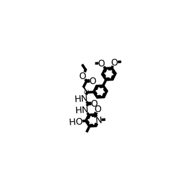 CCOC(=O)C[C@H](NC(=O)Nc1c(O)c(C)cn(C)c1=O)c1cccc(-c2ccc(OC)c(OC)c2)c1